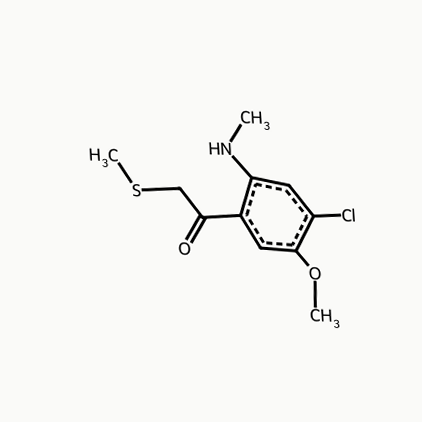 CNc1cc(Cl)c(OC)cc1C(=O)CSC